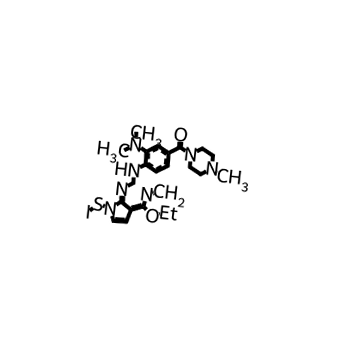 C=N/C(OCC)=C1/C=CN(SI)/C1=N/CNc1ccc(C(=O)N2CCN(C)CC2)cc1N(C)C